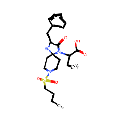 CCCCS(=O)(=O)N1CCC2(CC1)NC(Cc1ccccc1)C(=O)N2C(CC)C(=O)O